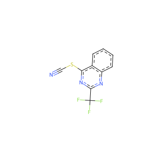 N#CSc1nc(C(F)(F)F)nc2ccccc12